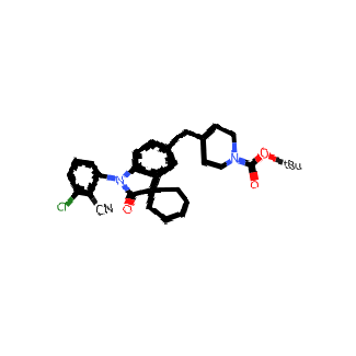 CC(C)(C)OC(=O)N1CCC(Cc2ccc3c(c2)C2(CCCCC2)C(=O)N3c2cccc(Cl)c2C#N)CC1